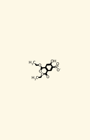 CCOC(=O)c1cc(O)c([N+](=O)[O-])cc1C(=O)OCC